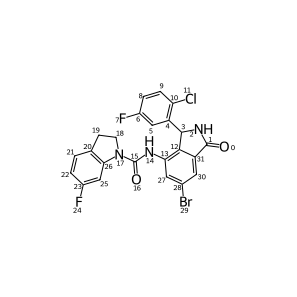 O=C1NC(c2cc(F)ccc2Cl)c2c(NC(=O)N3CCc4ccc(F)cc43)cc(Br)cc21